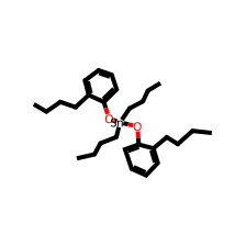 CCCCc1ccccc1[O][Sn]([CH2]CCC)([CH2]CCC)[O]c1ccccc1CCCC